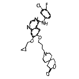 O=C1CC2(CCO1)CCN(CCCOc1cc3c(Nc4ccc(F)c(Cl)c4)ncnc3cc1OCC1CC1)CC2